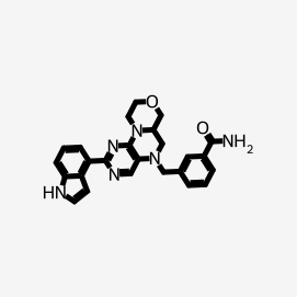 NC(=O)c1cccc(CN2CC3COCCN3c3nc(-c4cccc5[nH]ccc45)ncc32)c1